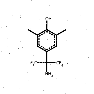 Cc1cc(C(N)(C(F)(F)F)C(F)(F)F)cc(C)c1O